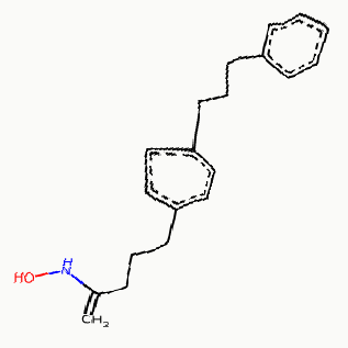 C=C(CCCc1ccc(CCCc2ccccc2)cc1)NO